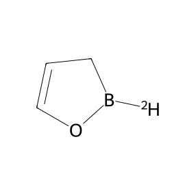 [2H]B1CC=CO1